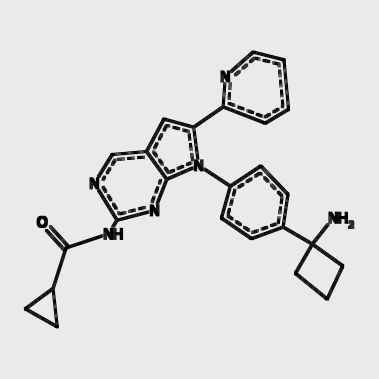 NC1(c2ccc(-n3c(-c4ccccn4)cc4cnc(NC(=O)C5CC5)nc43)cc2)CCC1